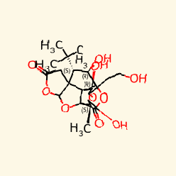 C[C@@H]1C(O)OC(CO)[C@H](O)C23C4OC(=O)C12OC1OC(=O)CC13[C@H](C(C)(C)C)[C@H]4O